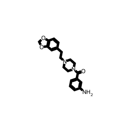 Nc1cccc(C(=O)N2CCN(CCc3ccc4c(c3)OCO4)CC2)c1